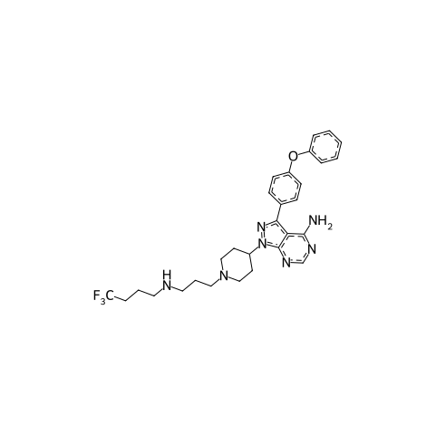 Nc1ncnc2c1c(-c1ccc(Oc3ccccc3)cc1)nn2C1CCN(CCCNCCCC(F)(F)F)CC1